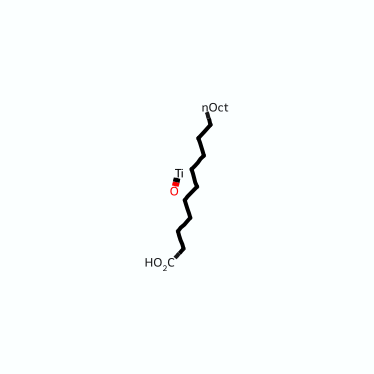 CCCCCCCCCCCCCCCCCC(=O)O.[O]=[Ti]